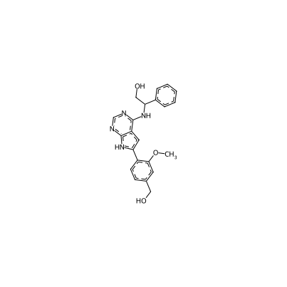 COc1cc(CO)ccc1-c1cc2c(NC(CO)c3ccccc3)ncnc2[nH]1